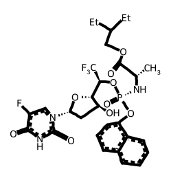 CCC(CC)COC(=O)[C@H](C)N[P@@](=O)(Oc1cccc2ccccc12)O[C@@H]([C@H]1O[C@@H](n2cc(F)c(=O)[nH]c2=O)C[C@@H]1O)C(F)(F)F